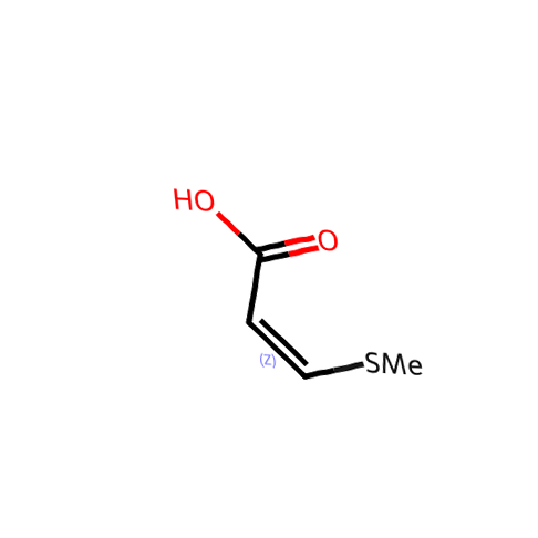 CS/C=C\C(=O)O